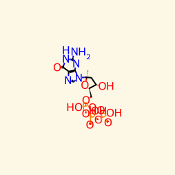 C[C@]1(n2cnc3c(=O)[nH]c(N)nc32)C[C@H](O)[C@@H](COP(=O)(O)OP(=O)(O)OP(=O)(O)O)O1